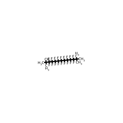 CC(C)(C)C(F)(F)C(F)(F)C(F)(F)C(F)(F)C(F)(F)C(F)(F)C(F)(F)C(F)(F)C(F)(F)C(C)(C)C